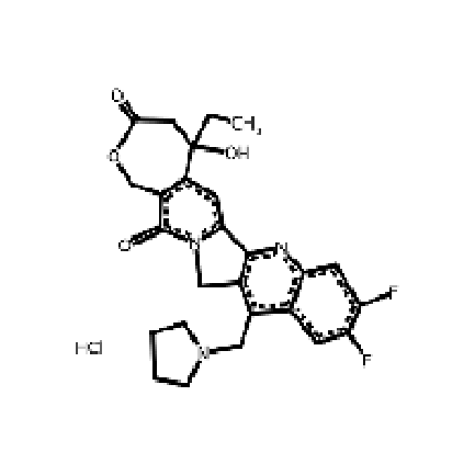 CCC1(O)CC(=O)OCc2c1cc1n(c2=O)Cc2c-1nc1cc(F)c(F)cc1c2CN1CCCC1.Cl